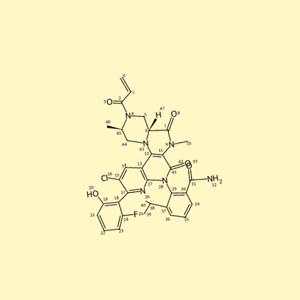 C=CC(=O)N1C[C@@H]2C(=O)N(C)c3c(c4cc(Cl)c(-c5c(O)cccc5F)nc4n(-c4c(C(N)=O)cccc4C(C)C)c3=O)N2C[C@H]1C